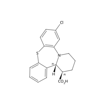 O=C(O)[C@@H]1CCCN2c3cc(Cl)ccc3Sc3ccccc3[C@@H]12